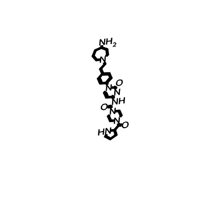 NC1CCCN(CCc2ccc(-n3ccc(NC(=O)N4CCN(C(=O)C5CCCN5)CC4)nc3=O)cc2)CC1